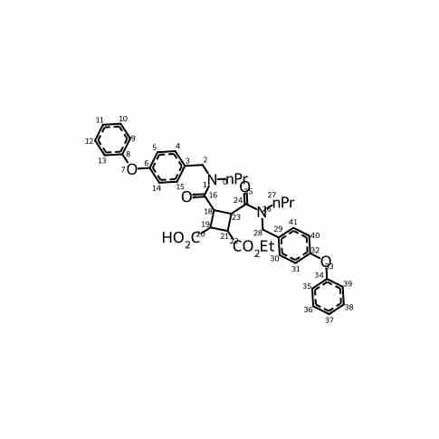 CCCN(Cc1ccc(Oc2ccccc2)cc1)C(=O)C1C(C(=O)O)C(C(=O)OCC)C1C(=O)N(CCC)Cc1ccc(Oc2ccccc2)cc1